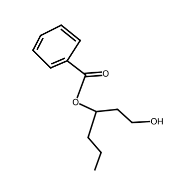 CCCC(CCO)OC(=O)c1ccccc1